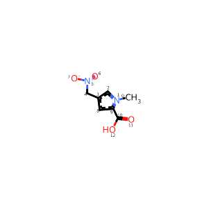 Cn1cc(C[N+](=O)[O-])cc1C(=O)O